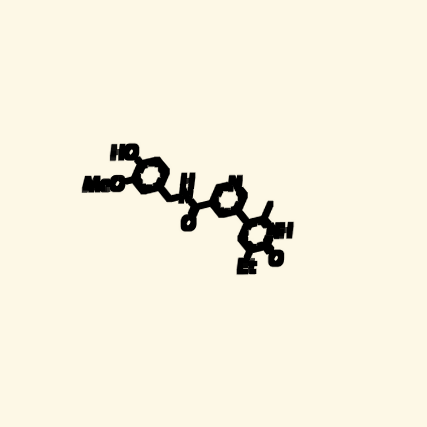 CCc1cc(-c2cncc(C(=O)NCc3ccc(O)c(OC)c3)c2)c(C)[nH]c1=O